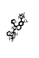 COc1cc2c(cc1-c1nnn(C)n1)-c1c(-c3cccs3)nc(C(=O)N3CCC[C@]3(C)[C@H](O)C(F)(F)F)n1CC2